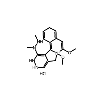 CNN(C)C1=C2C(=CNN1)C[N+]1(OC)C(OC)=CC3=CCC=CC3=C21.Cl